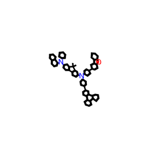 CC1(C)c2cc(N(c3ccc(-c4ccc5oc6ccccc6c5c4)cc3)c3ccc(-c4ccc5c6ccccc6c6ccccc6c5c4)cc3)ccc2-c2ccc(N(c3ccccc3)c3cccc4ccccc34)cc21